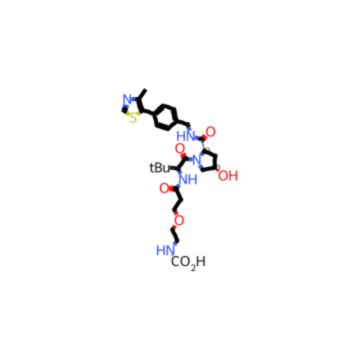 Cc1ncsc1-c1ccc(CNC(=O)[C@@H]2C[C@@H](O)CN2C(=O)C(NC(=O)CCOCCNC(=O)O)C(C)(C)C)cc1